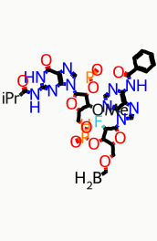 BCOCC1OC(n2cnc3c(NC(=O)c4ccccc4)ncnc32)C(F)C1O[PH](=O)OCC1OC(n2cnc3c(=O)[nH]c(NC(=O)C(C)C)nc32)C(OP=O)C1OC